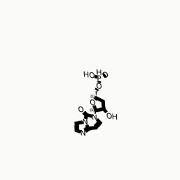 O=c1n([C@@H]2O[C@H](CO[PH](=O)O)CC2O)ccc2nccn12